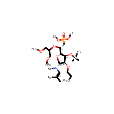 CCCCOCC(COCCCC)O[C@H](CP(=O)(OCC)OCC)[C@H]1O[C@@H](N(/C=C(/C)C(C)=O)C(C)=O)[C@H](OCCOC)[C@@H]1O[Si](C)(C)C(C)(C)C